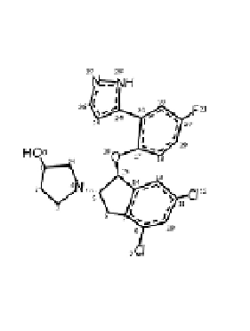 OC1CCN([C@H]2Cc3c(Cl)cc(Cl)cc3[C@@H]2Oc2ccc(F)cc2-c2ccn[nH]2)C1